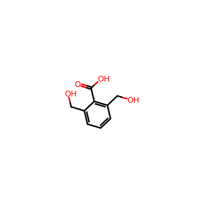 O=C(O)c1c(CO)cccc1CO